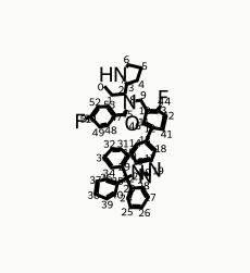 CCC(C1CCCN1)N(Cc1cc(-c2ccc3c(c2)nnn3C(c2ccccc2)(c2ccccc2)c2ccccc2)ccc1F)C(=O)c1ccc(F)cc1